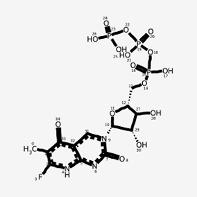 Cc1c(F)[nH]c2nc(=O)n([C@@H]3O[C@H](COP(=O)(O)OP(=O)(O)OP(=O)(O)O)C(O)[C@@H]3O)cc2c1=O